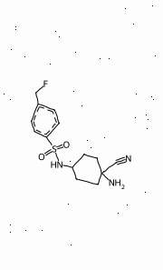 N#CC1(N)CCC(NS(=O)(=O)c2ccc(CF)cc2)CC1